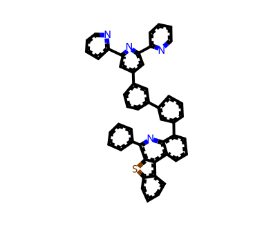 c1ccc(-c2nc3c(-c4cccc(-c5cccc(-c6cc(-c7ccccn7)nc(-c7ccccn7)c6)c5)c4)cccc3c3c2sc2ccccc23)cc1